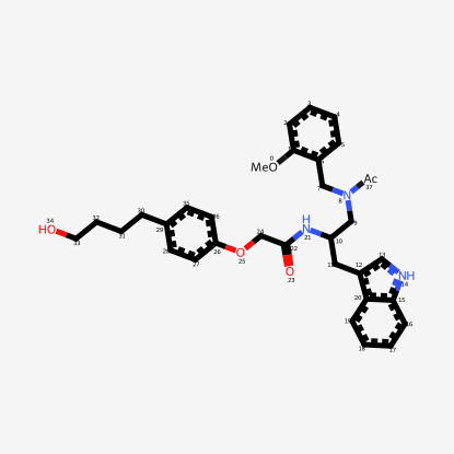 COc1ccccc1CN(CC(Cc1c[nH]c2ccccc12)NC(=O)COc1ccc(CCCCO)cc1)C(C)=O